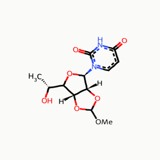 COC1O[C@@H]2[C@H](O1)C([C@@H](C)O)O[C@H]2n1ccc(=O)[nH]c1=O